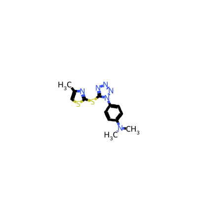 Cc1csc(Sc2nnnn2-c2ccc(N(C)C)cc2)n1